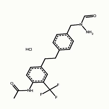 CC(=O)Nc1ccc(CCc2ccc(CN(N)C=O)cc2)cc1C(F)(F)F.Cl